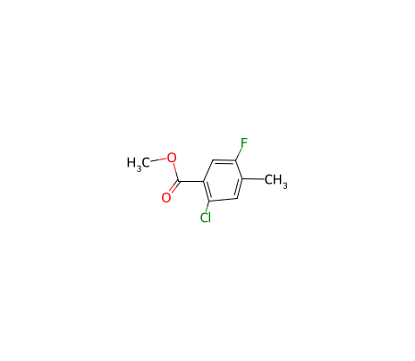 COC(=O)c1cc(F)c(C)cc1Cl